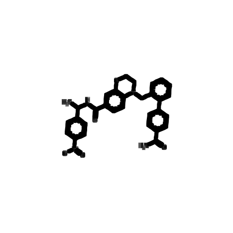 CC(NC(=O)c1ccc2c(c1)OCCN2Cc1ccccc1-c1ccc(C(N)=O)cc1)c1ccc([N+](=O)[O-])cc1